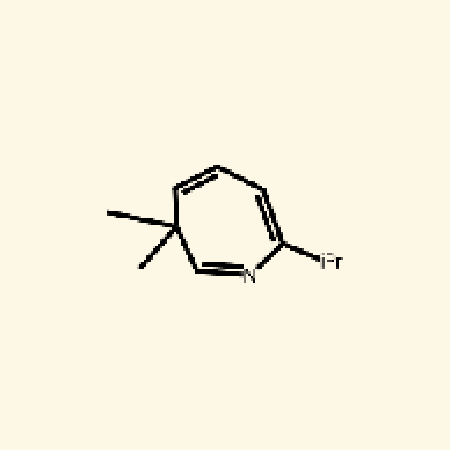 CC(C)C1=CC=CC(C)(C)C=N1